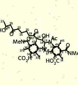 CNC(=O)c1c(I)c(C(=O)O)c(I)c(N(C(C)=O)C(C(O)CC(=O)CCCCC(=O)CC(C)O)N(C(C)=O)c2c(I)c(C(=O)O)c(I)c(C(=O)NC)c2I)c1I